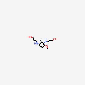 COc1ccc(NCCCO)c(C)c1NCCCO